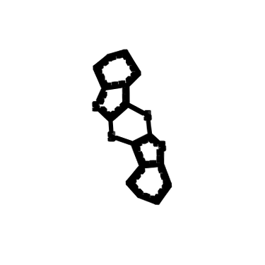 c1ccc2c3c(sc2c1)Sc1c(sc2ccccc12)S3